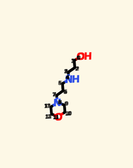 OCCCNCCCN1CCOCC1